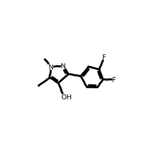 Cc1c(O)c(-c2ccc(F)c(F)c2)nn1C